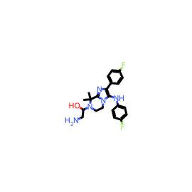 CC1(C)c2nc(-c3ccc(F)cc3)c(Nc3ccc(F)cc3)n2CCN1C(O)CN